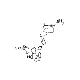 NCCN[C@H]1CC[C@@H](CC(=O)N2CC(Oc3ccc([C@@H]4C[C@@H]4B(O)O)c(O)c3C(=O)O)C2)CC1